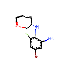 Nc1cc(Br)cc(F)c1N[C@H]1CCCOC1